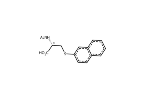 CC(=O)N[C@H](CSc1ccc2ccccc2c1)C(=O)O